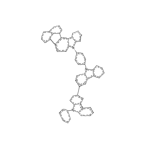 c1ccc(-n2c3ccccc3c3cc(-c4ccc5c(c4)c4ccccc4n5-c4ccc(-n5c6ccccc6c6c7c(ccc65)-c5cccc6cccc-7c56)cc4)ccc32)cc1